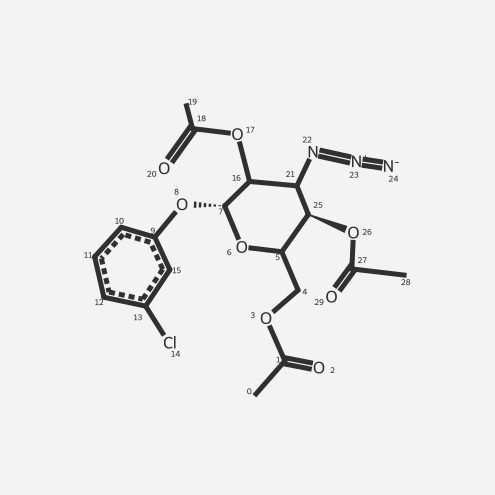 CC(=O)OCC1O[C@H](Oc2cccc(Cl)c2)C(OC(C)=O)C(N=[N+]=[N-])[C@H]1OC(C)=O